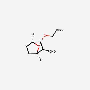 CCCCCCCO[C@@H]1[C@@H](C=O)[C@H]2CC[C@@H]1O2